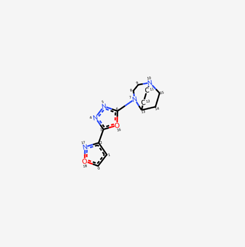 c1cc(-c2nnc(N3CCN4CCC3CC4)o2)no1